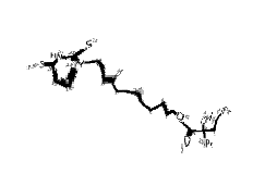 CC(C)CC(C)(C(=O)OCCCCCCCCn1ccc(=S)[nH]c1=S)C(C)C